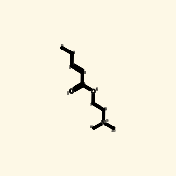 CCC=CC(=O)OCCN(C)C